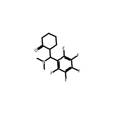 CN(C)C(c1c(F)c(F)c(F)c(F)c1F)C1CCCCC1=O